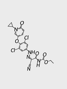 CCOC(=O)NC(=O)C(C#N)=NNc1cc(Cl)c(Oc2ccc(=O)n(C3CC3)c2)c(Cl)c1